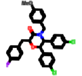 COc1ccc(CN2C(=O)C(Cc3ccc(I)cc3)OC(c3ccc(Cl)cc3)C2c2ccc(Cl)cc2)cc1